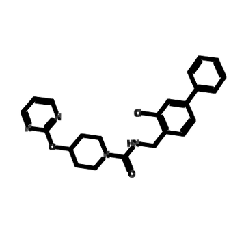 O=C(NCc1ccc(-c2ccccc2)cc1Cl)N1CCC(Oc2ncccn2)CC1